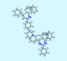 CCC1C(c2ccccc2)=NC(c2ccc(-c3ccc4ccc(C5N=C(c6ccccc6)N=C(c6ccccc6)C5CC)cc4c3)cc2)=CC1c1ccccc1